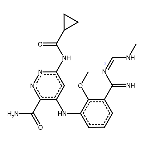 CN/C=N\C(=N)c1cccc(Nc2cc(NC(=O)C3CC3)nnc2C(N)=O)c1OC